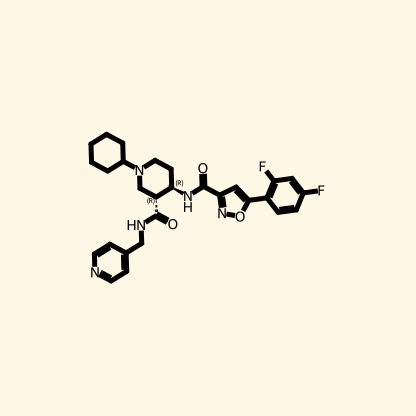 O=C(N[C@@H]1CCN(C2CCCCC2)C[C@H]1C(=O)NCc1ccncc1)c1cc(-c2ccc(F)cc2F)on1